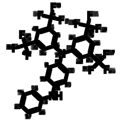 FC(F)(F)c1cc(N(c2ccc(Nc3ccccc3)cc2)c2cc(C(F)(F)F)cc(C(F)(F)F)c2)cc(C(F)(F)F)c1